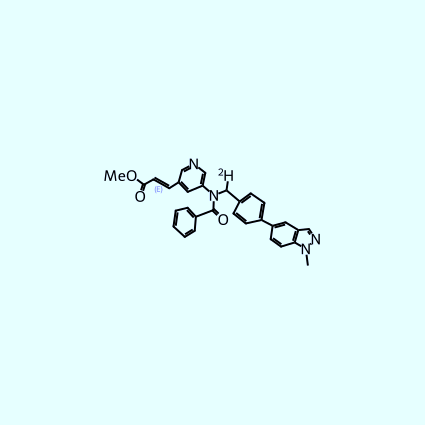 [2H]C(c1ccc(-c2ccc3c(cnn3C)c2)cc1)N(C(=O)c1ccccc1)c1cncc(/C=C/C(=O)OC)c1